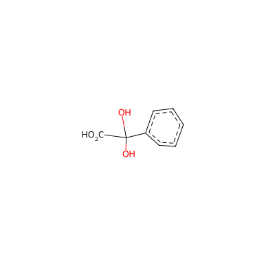 O=C(O)C(O)(O)c1ccccc1